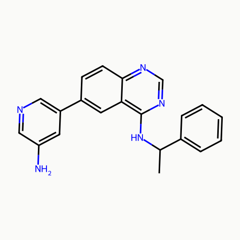 CC(Nc1ncnc2ccc(-c3cncc(N)c3)cc12)c1ccccc1